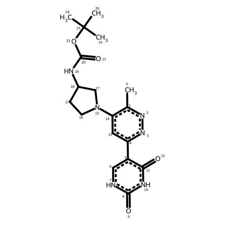 Cc1nnc(-c2c[nH]c(=O)[nH]c2=O)cc1N1CCC(NC(=O)OC(C)(C)C)C1